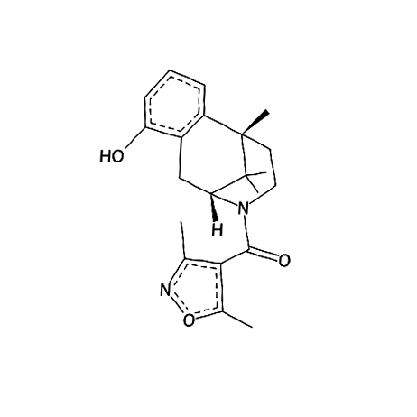 Cc1noc(C)c1C(=O)N1CC[C@@]2(C)c3cccc(O)c3C[C@@H]1C2(C)C